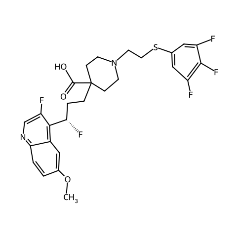 COc1ccc2ncc(F)c([C@@H](F)CCC3(C(=O)O)CCN(CCSc4cc(F)c(F)c(F)c4)CC3)c2c1